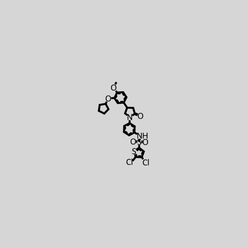 COc1ccc(C2CC(=O)N(c3cccc(NS(=O)(=O)c4cc(Cl)c(Cl)s4)c3)C2)cc1OC1CCCC1